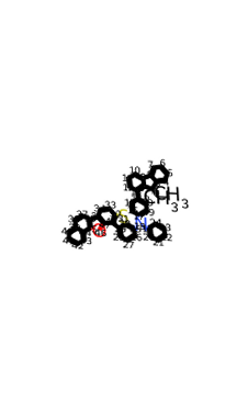 CC1(C)c2ccccc2-c2cccc(-c3ccc(N(c4ccccc4)c4cccc5c4sc4ccc6c7ccc8ccccc8c7oc6c45)cc3)c21